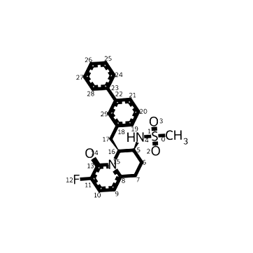 CS(=O)(=O)N[C@H]1CCc2ccc(F)c(=O)n2[C@H]1Cc1cccc(-c2ccccc2)c1